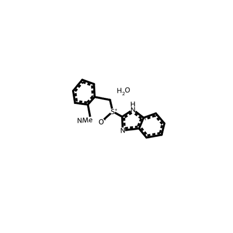 CNc1ccccc1C[S+]([O-])c1nc2ccccc2[nH]1.O